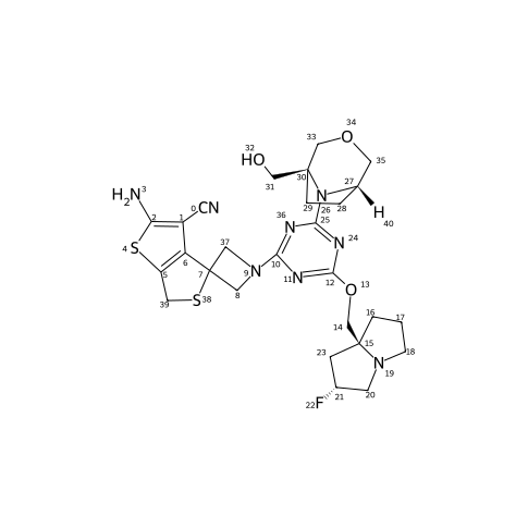 N#Cc1c(N)sc2c1C1(CN(c3nc(OC[C@@]45CCCN4C[C@H](F)C5)nc(N4[C@H]5CC[C@]4(CO)COC5)n3)C1)SC2